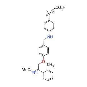 CO/N=C(\COc1ccc(CNc2ccc([C@@H]3C[C@H]3C(=O)O)cc2)cc1)c1ccccc1C